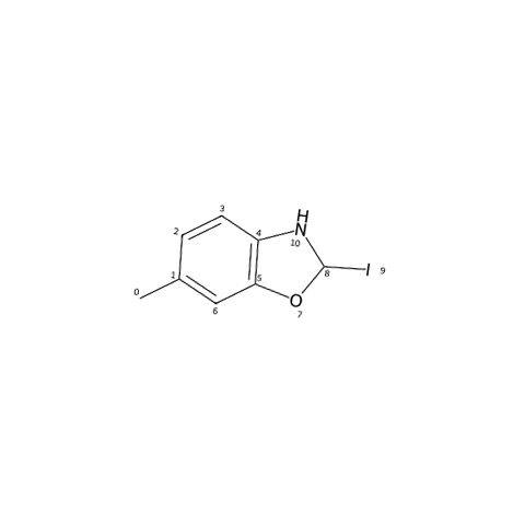 Cc1ccc2c(c1)OC(I)N2